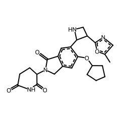 Cc1cnc(C2CNC2c2cc3c(cc2OC2CCCC2)CN(C2CCC(=O)NC2=O)C3=O)o1